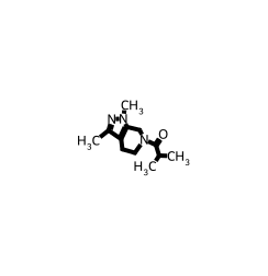 Cc1nn(C)c2c1CCN(C(=O)C(C)C)C2